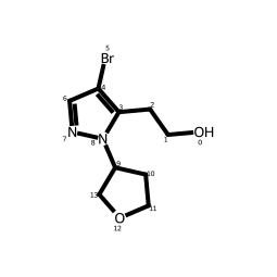 OCCc1c(Br)cnn1C1CCOC1